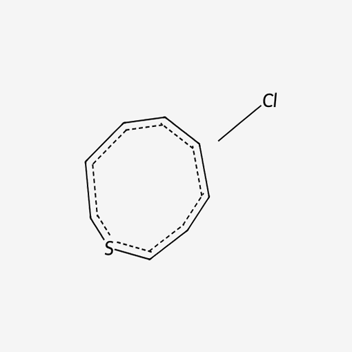 CCl.c1ccccsccc1